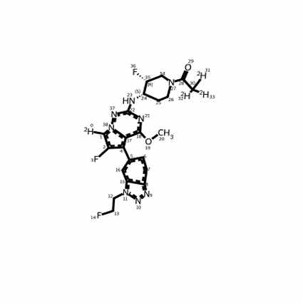 [2H]c1c(F)c(-c2ccc3nnn(CCF)c3c2)c2c(OC)nc(N[C@H]3CCN(C(=O)C([2H])([2H])[2H])C[C@H]3F)nn12